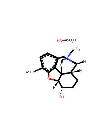 COc1ccc2c3c1O[C@H]1[C@@H](O)CC[C@H]4[C@@H](C2)N(C)CC[C@@]341.O=S(=O)(O)O